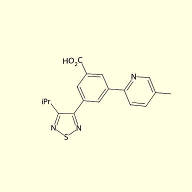 Cc1ccc(-c2cc(C(=O)O)cc(-c3nsnc3C(C)C)c2)nc1